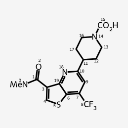 CNC(=O)c1csc2c(C(F)(F)F)cc(C3CCN(C(=O)O)CC3)nc12